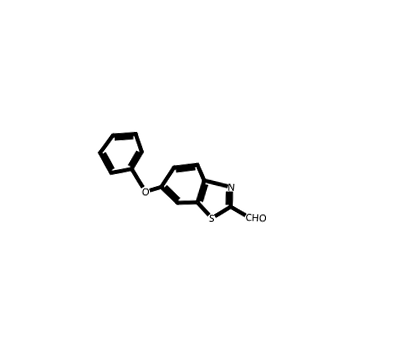 O=Cc1nc2ccc(Oc3ccccc3)cc2s1